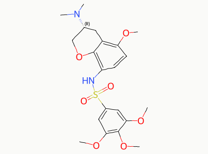 COc1ccc(NS(=O)(=O)c2cc(OC)c(OC)c(OC)c2)c2c1C[C@@H](N(C)C)CO2